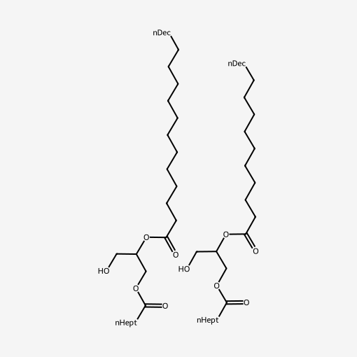 CCCCCCCCCCCCCCCCCCCC(=O)OC(CO)COC(=O)CCCCCCC.CCCCCCCCCCCCCCCCCCCCCC(=O)OC(CO)COC(=O)CCCCCCC